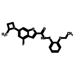 CCOc1ccccc1SNC(=O)c1cc2c(F)cc(N3CCC3C)cc2o1